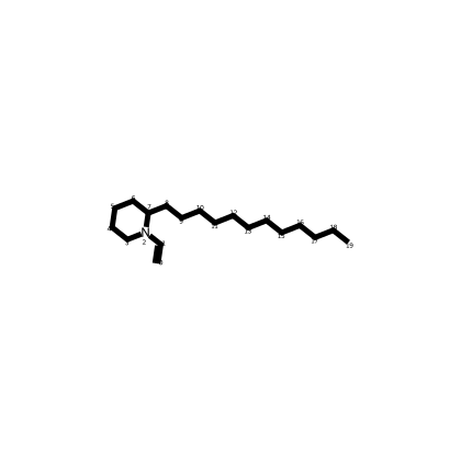 C=CN1CCCCC1CCCCCCCCCCCC